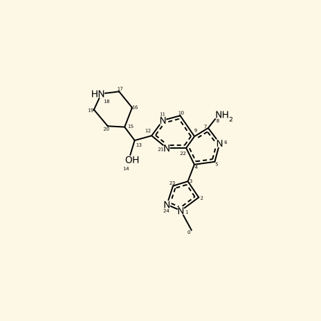 Cn1cc(-c2cnc(N)c3cnc(C(O)C4CCNCC4)nc23)cn1